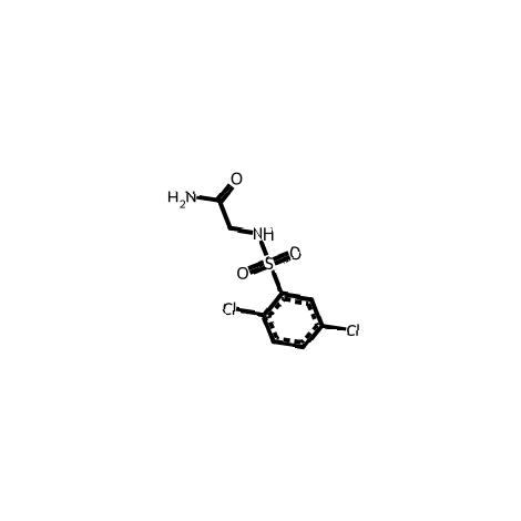 NC(=O)CNS(=O)(=O)c1cc(Cl)ccc1Cl